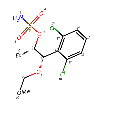 CC[C@H](OS(N)(=O)=O)[C@@H](OCOC)c1c(Cl)cccc1Cl